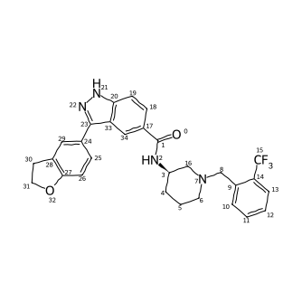 O=C(N[C@@H]1CCCN(Cc2ccccc2C(F)(F)F)C1)c1ccc2[nH]nc(-c3ccc4c(c3)CCO4)c2c1